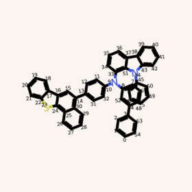 c1ccc(-c2cccc(N(c3ccc(-c4cc5c6ccccc6sc5c5ccccc45)cc3)c3cccc4c5ccccc5n(-c5ccccc5)c34)c2)cc1